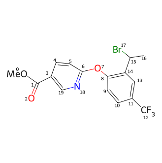 COC(=O)c1ccc(Oc2ccc(C(F)(F)F)cc2C(C)Br)nc1